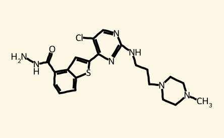 CN1CCN(CCCNc2ncc(Cl)c(-c3cc4c(C(=O)NN)cccc4s3)n2)CC1